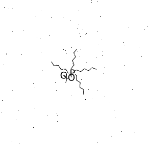 CCCCCCP(CCCCCC)(CCCCCC)(CCCCCC)OC(C)=O